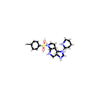 Cc1ccc(S(=O)(=O)n2ccc3c4c(cnc32)ncn4-c2ccccn2)cc1